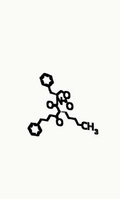 CCCCC[C@H](C(=O)CCCc1ccccc1)C(=O)N1C(=O)OC[C@@H]1Cc1ccccc1